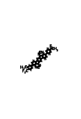 C=C/C=C(\C=C/CC(F)(F)F)c1ccc2c(c1)/c(=N\C#N)c1cc3c(cc12)/c(=N/C#N)c1cc(-c2ccc(C(C)F)cc2)ccc13